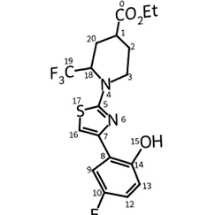 CCOC(=O)C1CCN(c2nc(-c3cc(F)ccc3O)cs2)C(C(F)(F)F)C1